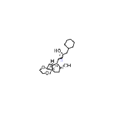 C[C@]12CC[C@@H](O)[C@H](/C=C/[C@@H](O)CC3CCCCC3)[C@H]1CC21OCCO1